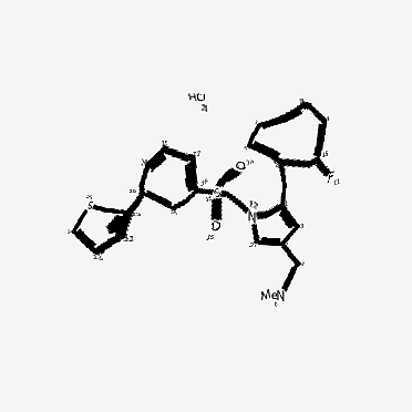 CNCc1cc(-c2ccccc2F)n(S(=O)(=O)c2cccc(-c3cccs3)c2)c1.Cl